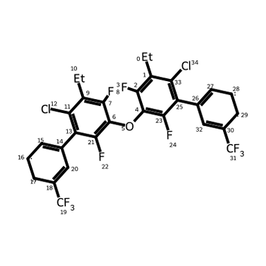 CCc1c(F)c(Oc2c(F)c(CC)c(Cl)c(C3=C[CH][C]C(C(F)(F)F)=C3)c2F)c(F)c(C2=C[C][CH]C(C(F)(F)F)=C2)c1Cl